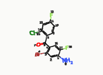 Nc1cc(Br)c(C(=O)c2ccc(F)cc2Cl)cc1F